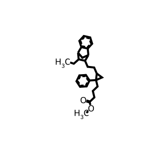 CCC1C2CC(c3ccccc32)C1CCC1CC1(CCCC(=O)OC)c1ccccc1